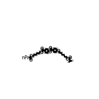 C=C(C)C(=O)OCCCCCCOc1ccc(C(=O)Oc2ccc(C(=O)OCCCCCCOC(=O)CCC)cc2)cc1